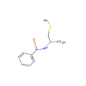 CCCSCC(NC(=O)c1ccccc1)C(=O)O